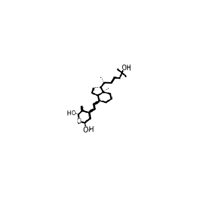 C=C1C(=CC=C2CCC[C@@]3(C)C2CC[C@@H]3[C@H](C)CCCC(C)(C)O)C[C@@H](O)O[C@@H]1O